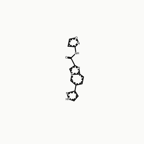 O=C(Nc1ccon1)c1cn2cc(-c3cc[nH]n3)ccc2n1